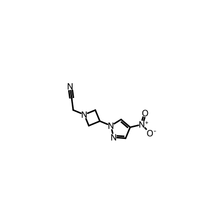 N#CCN1CC(n2cc([N+](=O)[O-])cn2)C1